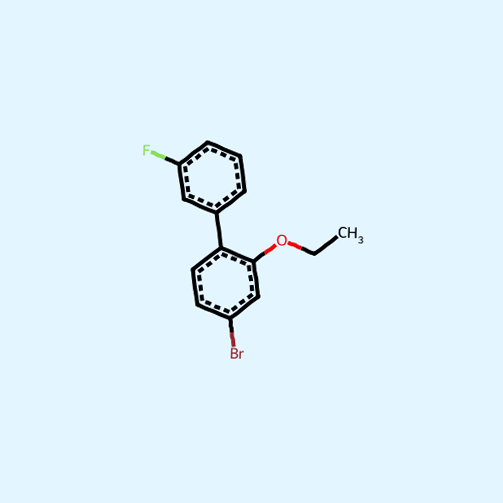 CCOc1cc(Br)ccc1-c1cccc(F)c1